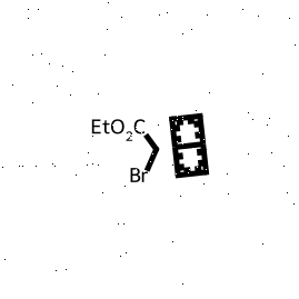 CCOC(=O)CBr.c1cc2ccc1-2